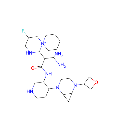 NC(N)C(C(=O)NC1CNCCC1N1CCN(C2COC2)C2CC21)C1NCC(F)C[N+]12CCCCC2